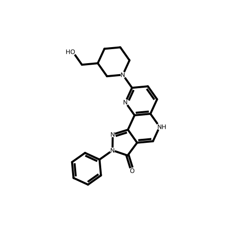 O=c1c2c[nH]c3ccc(N4CCCC(CO)C4)nc3c-2nn1-c1ccccc1